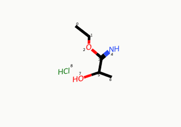 CCOC(=N)C(C)O.Cl